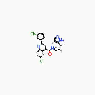 CN(Cc1cnn2c1CCC2)C(=O)c1cc(-c2cccc(Cl)c2)nc2ccc(Cl)cc12